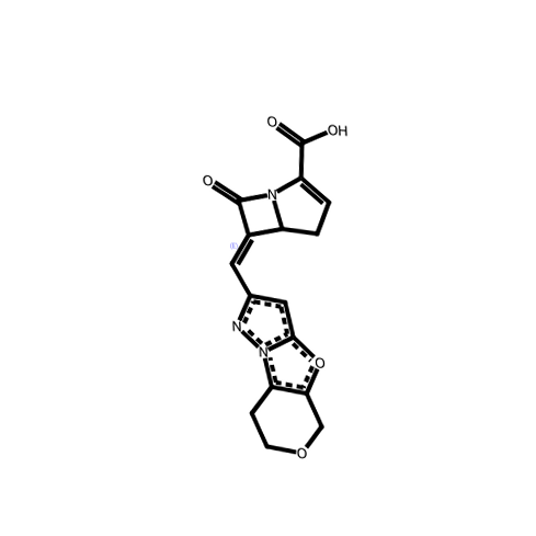 O=C(O)C1=CCC2/C(=C\c3cc4oc5c(n4n3)CCOC5)C(=O)N12